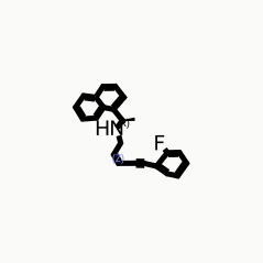 C[C@@H](NC/C=C\C#Cc1ccccc1F)c1cccc2ccccc12